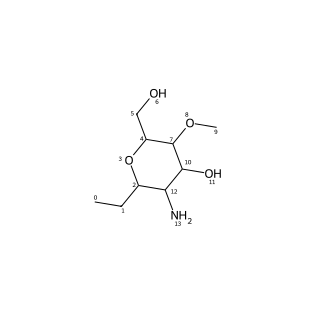 CCC1OC(CO)C(OC)C(O)C1N